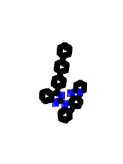 c1ccc(-c2ccc(-c3ccc(-c4nc(-n5c6ccccc6c6ccc7c(nc8ccccn87)c65)nc5ccccc45)cc3)cc2)cc1